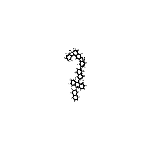 c1ccc2cc(-c3c4ccccc4c(-c4ccc5cc(-c6ccc7oc8cc9ccc%10oc%11ccccc%11c%10c9cc8c7c6)ccc5c4)c4ccccc34)ccc2c1